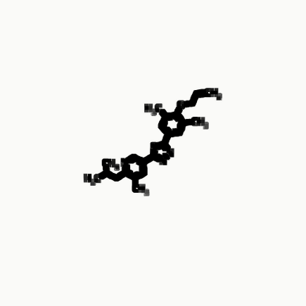 C=CCOc1c(C)cc(-c2nnc(-c3cnc(CC(C)C)c(C)c3)s2)cc1C